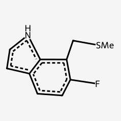 CSCc1c(F)ccc2cc[nH]c12